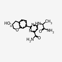 CC(Nc1cc(C(N)=O)nc(-c2ccc3c(c2)OC[C@H](O)C3)n1)C(N)=O